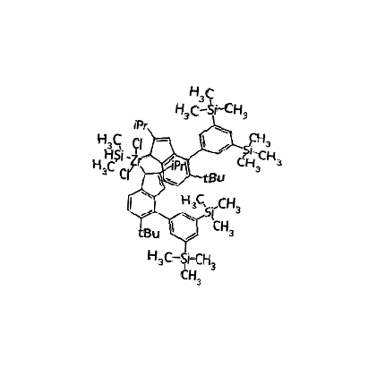 CC(C)C1=Cc2c(ccc(C(C)(C)C)c2-c2cc([Si](C)(C)C)cc([Si](C)(C)C)c2)[CH]1[Zr]([Cl])([Cl])([CH]1C(C(C)C)=Cc2c1ccc(C(C)(C)C)c2-c1cc([Si](C)(C)C)cc([Si](C)(C)C)c1)[SiH](C)C